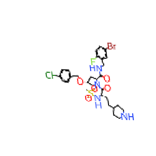 CS(=O)(=O)N[C@H](CCC1CCNCC1)C(=O)N1C[C@H](OCc2ccc(Cl)cc2)C[C@H]1C(=O)NCc1cc(Br)ccc1F